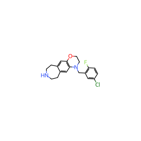 Fc1ccc(Cl)cc1CN1CCOc2cc3c(cc21)CCNCC3